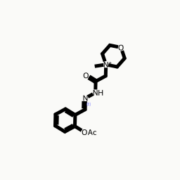 CC(=O)Oc1ccccc1/C=N/NC(=O)C[N+]1(C)CCOCC1